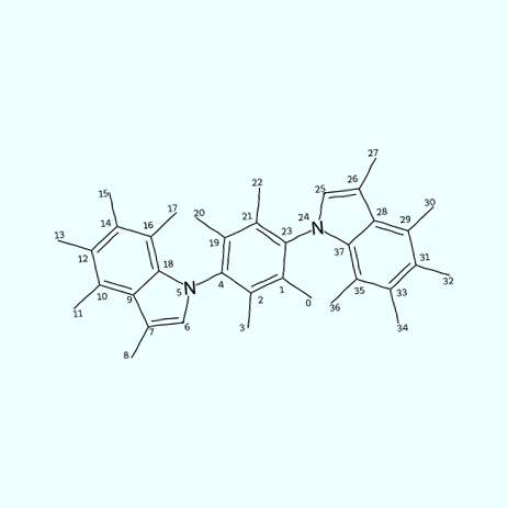 Cc1c(C)c(-n2cc(C)c3c(C)c(C)c(C)c(C)c32)c(C)c(C)c1-n1cc(C)c2c(C)c(C)c(C)c(C)c21